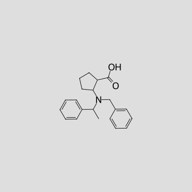 CC(c1ccccc1)N(Cc1ccccc1)C1CCCC1C(=O)O